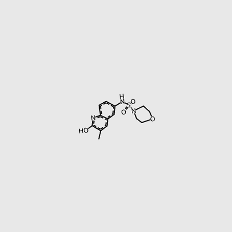 Cc1cc2cc(NS(=O)(=O)N3CCOCC3)ccc2nc1O